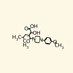 COc1ccc(N2CCN(C(=O)[C@@H](CC(C)C)[C@@H](O)C(=O)O)CC2)cc1